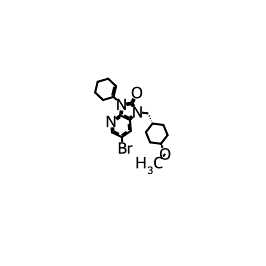 CO[C@H]1CC[C@H](Cn2c(=O)n(C3=CCCCC3)c3ncc(Br)cc32)CC1